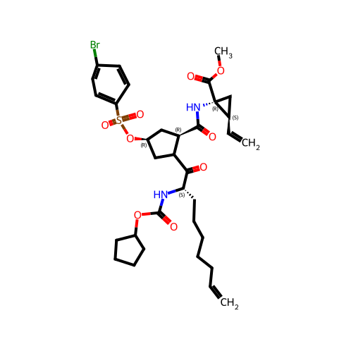 C=CCCCCC[C@H](NC(=O)OC1CCCC1)C(=O)C1C[C@@H](OS(=O)(=O)c2ccc(Br)cc2)C[C@H]1C(=O)N[C@]1(C(=O)OC)C[C@H]1C=C